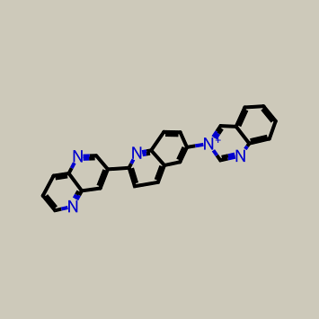 c1ccc2nc[n+](-c3ccc4nc(-c5cnc6cccnc6c5)ccc4c3)cc2c1